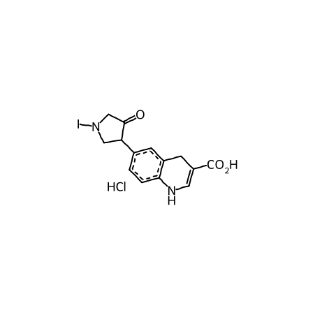 Cl.O=C(O)C1=CNc2ccc(C3CN(I)CC3=O)cc2C1